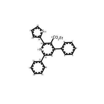 CCOC(=O)c1c(-c2ccccc2)cc(-c2ccccc2)nc1-c1cccs1